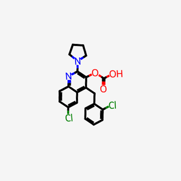 O=C(O)Oc1c(N2CCCC2)nc2ccc(Cl)cc2c1Cc1ccccc1Cl